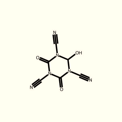 N#CN1C(=O)N(C#N)C(O)N(C#N)C1=O